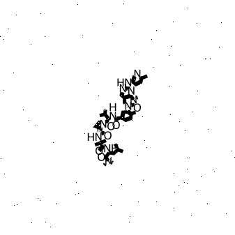 Cc1ccc(Nc2ncc3c(n2)N(C)C(=O)N(c2cc(C(=O)NC(C(=O)N4CC[C@H]4C(=O)NC(C)(C)C(=O)NC(CC(C)C)C(=O)N(C)C)C(C)C)ccc2C)C3)cn1